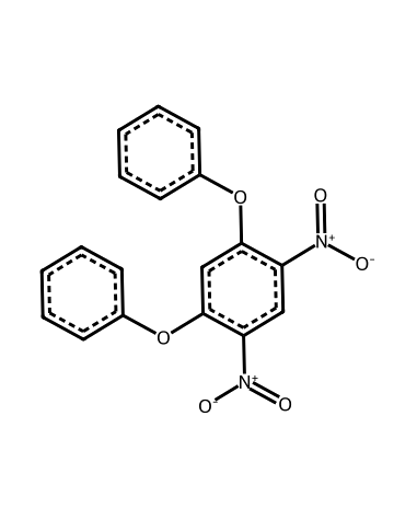 O=[N+]([O-])c1cc([N+](=O)[O-])c(Oc2ccccc2)cc1Oc1ccccc1